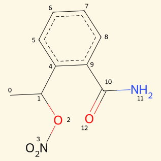 CC(O[N+](=O)[O-])c1ccccc1C(N)=O